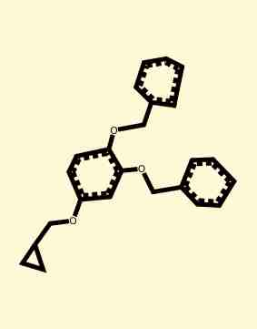 c1ccc(COc2ccc(OCC3CC3)cc2OCc2ccccc2)cc1